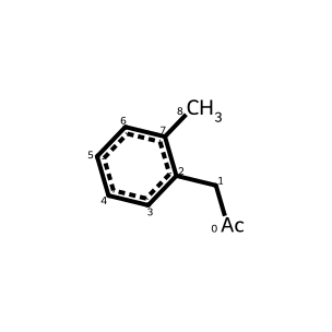 CC(=O)Cc1ccccc1C